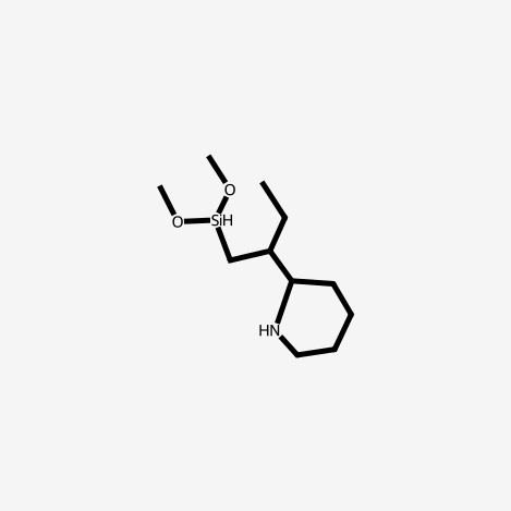 CCC(C[SiH](OC)OC)C1CCCCN1